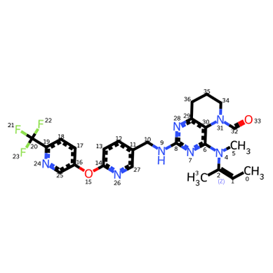 C/C=C(/C)N(C)c1nc(NCc2ccc(Oc3ccc(C(F)(F)F)nc3)nc2)nc2c1N(C=O)CCC2